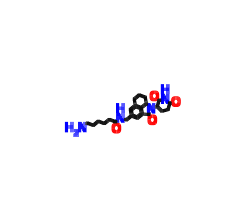 NCCCCCC(=O)NCc1cc2c3c(c1)C(=O)N(C1CCC(=O)NC1=O)C3CCC2